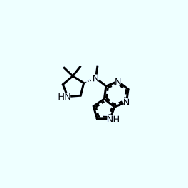 CN(c1ncnc2[nH]ccc12)[C@@H]1CNCC1(C)C